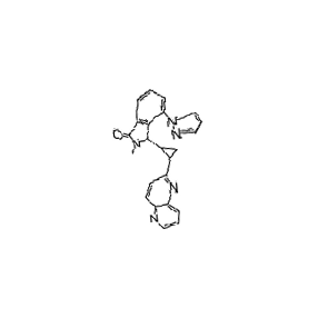 CN1C(=O)c2cccc(-n3cccn3)c2C1C1CC1c1ccc2ncccc2n1